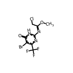 CO/C(CCl)=N/c1nc(C(F)(F)F)c(Br)c(=O)[nH]1